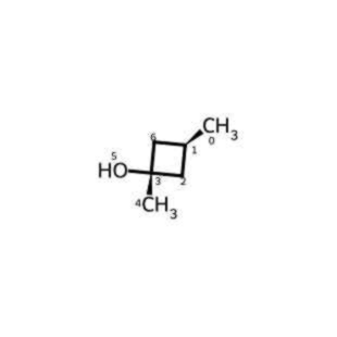 C[C@H]1C[C@](C)(O)C1